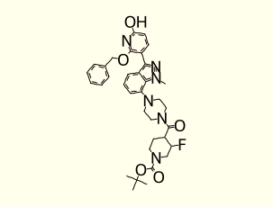 Cn1nc(-c2ccc(O)nc2OCc2ccccc2)c2cccc(N3CCN(C(=O)C4CCN(C(=O)OC(C)(C)C)CC4F)CC3)c21